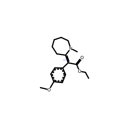 CCOC(=O)/C(=C1/CCCCCN1C)c1ccc(OC)cc1